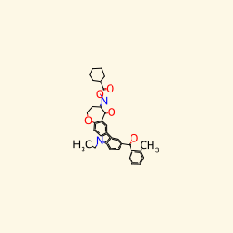 CCn1c2ccc(C(=O)c3ccccc3C)cc2c2cc3c(cc21)OCC/C(=N\OC(=O)C1CCCCC1)C3=O